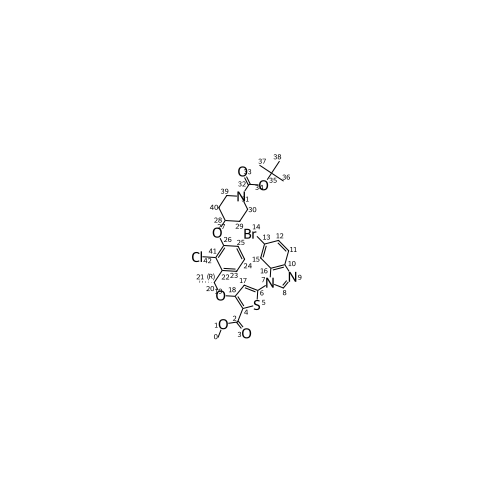 COC(=O)c1sc(-n2cnc3ccc(Br)cc32)cc1O[C@H](C)c1cccc(OC2CCN(C(=O)OC(C)(C)C)CC2)c1Cl